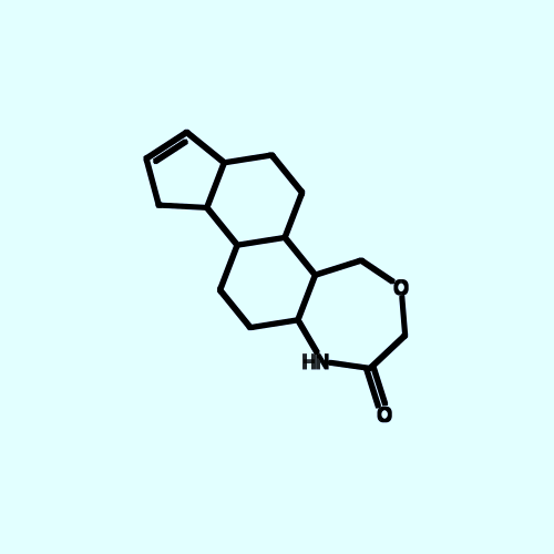 O=C1COCC2C(CCC3C4CC=CC4CCC23)N1